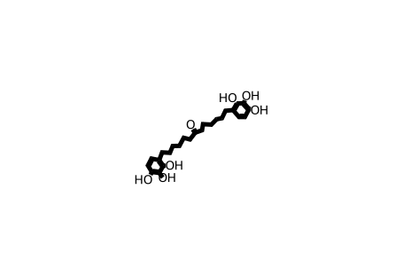 O=C(CCCCCCc1ccc(O)c(O)c1O)CCCCCCc1ccc(O)c(O)c1O